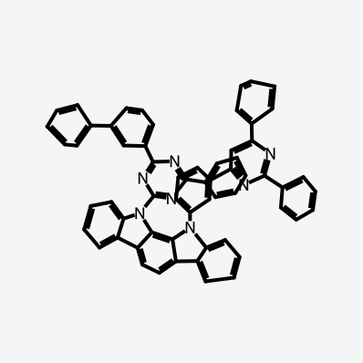 c1ccc(-c2cccc(-c3nc(-c4ccccc4)nc(-n4c5ccccc5c5ccc6c7ccccc7n(-c7cccc(-c8cc(-c9ccccc9)nc(-c9ccccc9)n8)c7)c6c54)n3)c2)cc1